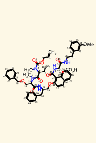 C=CCOC(=O)N(C)[C@@H](CC(C)C)C(=O)N(C)[C@H](COCc1ccccc1)C(=O)N[C@@H](COc1ccc2ccccc2c1C(=O)N[C@@H](CC(=O)O)C(=O)NCCc1cccc(OC)c1)Cc1ccccc1